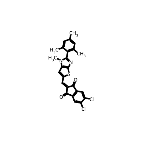 Cc1cc(C)c(-c2nc3sc(C=C4C(=O)c5cc(Cl)c(Cl)cc5C4=O)cc3n2C)c(C)c1